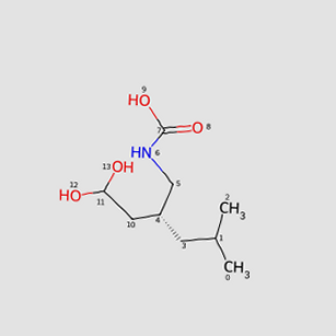 CC(C)C[C@@H](CNC(=O)O)CC(O)O